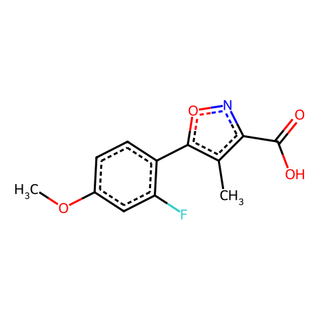 COc1ccc(-c2onc(C(=O)O)c2C)c(F)c1